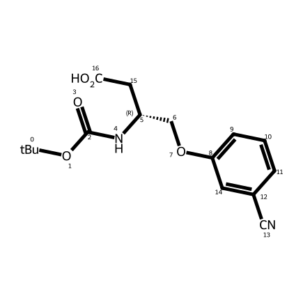 CC(C)(C)OC(=O)N[C@@H](COc1cccc(C#N)c1)CC(=O)O